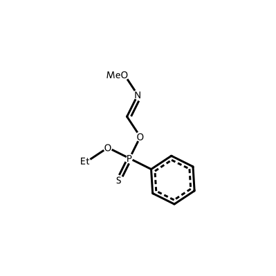 CCOP(=S)(OC=NOC)c1ccccc1